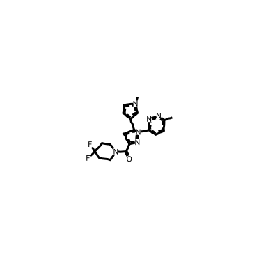 Cc1ccc(-n2nc(C(=O)N3CCC(F)(F)CC3)cc2-c2ccn(C)c2)nn1